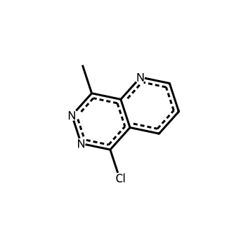 Cc1nnc(Cl)c2cccnc12